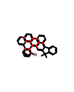 CC1(C)c2ccccc2-c2ccc(N(c3ccccc3-c3ccccc3)c3ccccc3-c3ccccc3-c3ccccc3C3=CC=CC3Br)cc21